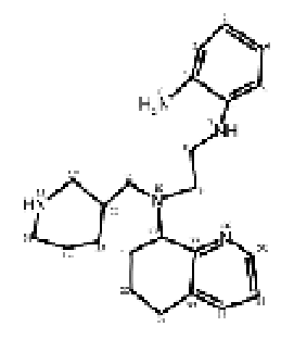 Nc1ccccc1NCCN(CC1CCCNC1)C1CCCc2cccnc21